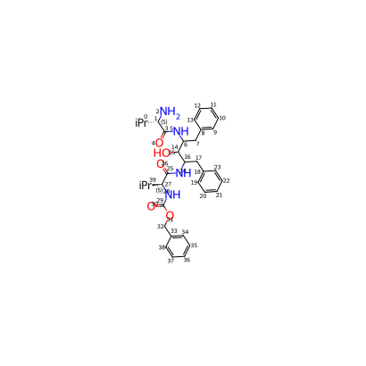 CC(C)[C@H](N)C(=O)NC(Cc1ccccc1)C(O)C(Cc1ccccc1)NC(=O)[C@@H](NC(=O)OCc1ccccc1)C(C)C